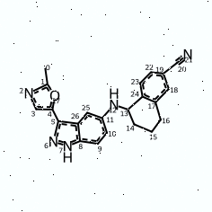 Cc1ncc(-c2n[nH]c3ccc(NC4CCCc5cc(C#N)ccc54)cc23)o1